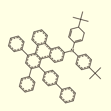 CC(C)(C)c1ccc(N(C2=CCC(C(C)(C)C)C=C2)c2ccc3c(c2)c2ccccc2c2c(-c4ccccc4)cc(-c4ccccc4)c(-c4ccc(-c5ccccc5)cc4)c32)cc1